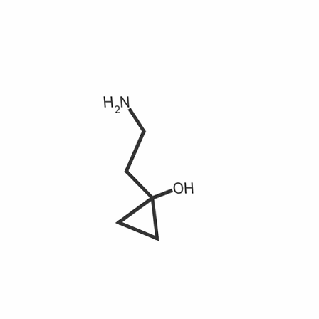 NCCC1(O)CC1